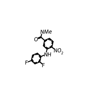 CNC(=O)c1ccc([N+](=O)[O-])c(Nc2ccc(F)cc2F)c1